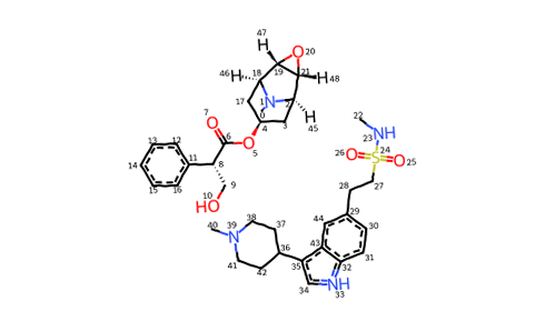 CN1[C@@H]2C[C@@H](OC(=O)[C@H](CO)c3ccccc3)C[C@H]1[C@@H]1O[C@@H]12.CNS(=O)(=O)CCc1ccc2[nH]cc(C3CCN(C)CC3)c2c1